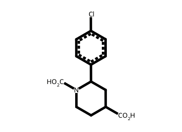 O=C(O)C1CCN(C(=O)O)C(c2ccc(Cl)cc2)C1